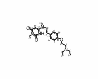 CCN(CC)CCOc1ccc(C=NN(C)c2cc(=O)n(C)c(=O)[nH]2)cc1